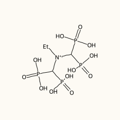 CC[N+](C(P(=O)(O)O)P(=O)(O)O)C(P(=O)(O)O)P(=O)(O)O